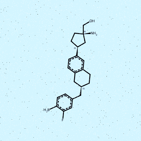 Bc1ccc(C[C@@H]2CCc3cc([C@H]4CC[C@](N)(CO)C4)ccc3C2)cc1F